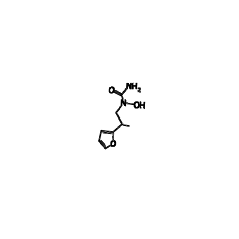 CC(CN(O)C(N)=O)c1ccco1